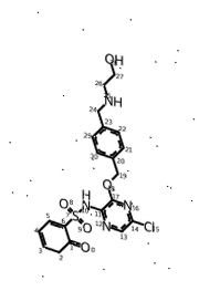 O=C1CC=CC=C1S(=O)(=O)Nc1ncc(Cl)nc1OCc1ccc(CNCCO)cc1